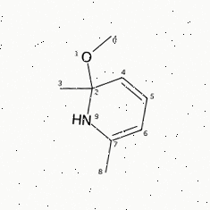 [CH2]OC1(C)C=CC=C(C)N1